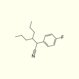 CCCC(CCC)C(C#N)c1ccc(F)cc1